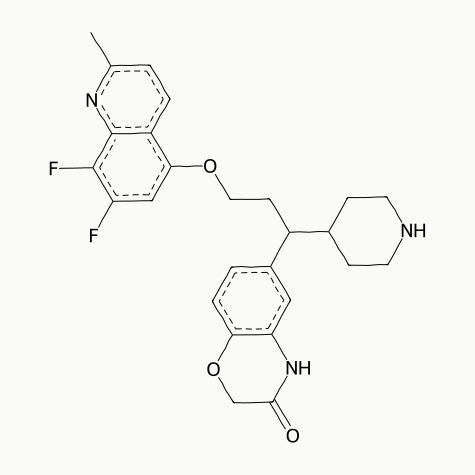 Cc1ccc2c(OCCC(c3ccc4c(c3)NC(=O)CO4)C3CCNCC3)cc(F)c(F)c2n1